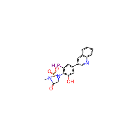 CN1C(=O)CN(c2c(O)cc(-c3cnc4ccccc4c3)cc2P)S1(=O)=O